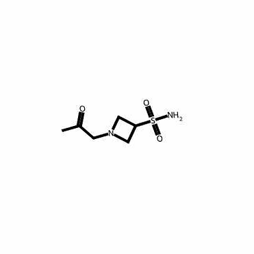 CC(=O)CN1CC(S(N)(=O)=O)C1